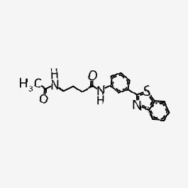 CC(=O)NCCCC(=O)Nc1cccc(-c2nc3ccccc3s2)c1